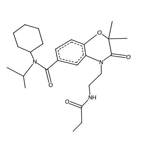 CCC(=O)NCCN1C(=O)C(C)(C)Oc2ccc(C(=O)N(C(C)C)C3CCCCC3)cc21